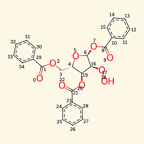 O=C(OC[C@@H]1O[C@@H](OC(=O)c2ccccc2)[C@@H](OO)[C@H]1OC(=O)c1ccccc1)c1ccccc1